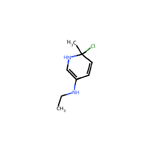 CCNC1=CNC(C)(Cl)C=C1